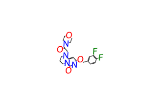 O=C(CN1CCCn2c1cc(OCc1ccc(F)c(F)c1)nc2=O)N1CCOCC1